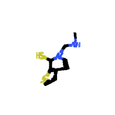 CNCN1C=Cc2ccsc2C1S